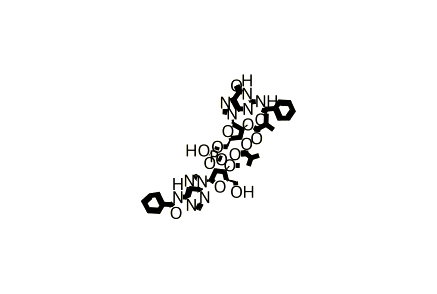 CO[C@H]1[C@@H](OP(=O)(O)OC[C@H]2O[C@@H](n3cnc4c(=O)[nH]c(NC(=O)c5ccccc5)nc43)[C@H](OC(=O)C(C)C)[C@@H]2OC(=O)C(C)C)[C@H](n2cnc3c(NC(=O)c4ccccc4)ncnc32)O[C@@H]1CO